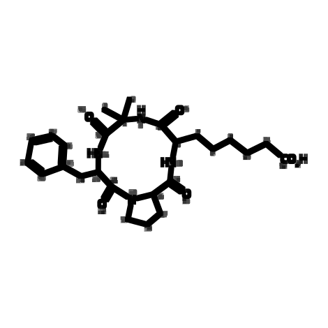 CC1(C)NC(=O)C(CCCCCC(=O)O)NC(=O)C2CCCN2C(=O)C(Cc2ccccc2)NC1=O